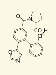 O=C(O)C1CCCN1C(=O)c1ccc(-c2cnco2)c(-c2ccccc2Cl)c1